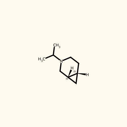 CC(C)N1CC[C@@H]2C[C@@H]2C1